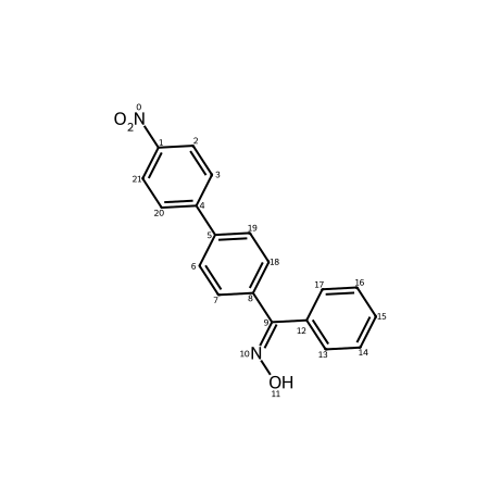 O=[N+]([O-])c1ccc(-c2ccc(/C(=N/O)c3ccccc3)cc2)cc1